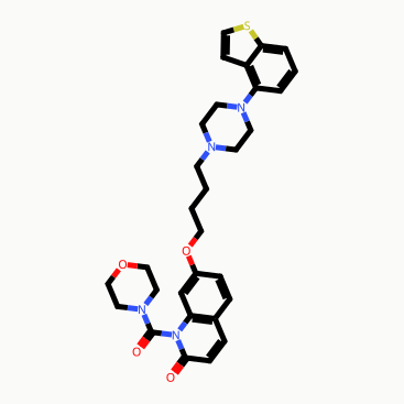 O=C(N1CCOCC1)n1c(=O)ccc2ccc(OCCCCN3CCN(c4cccc5sccc45)CC3)cc21